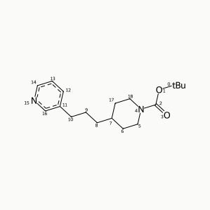 CC(C)(C)OC(=O)N1CCC(CCCc2cccnc2)CC1